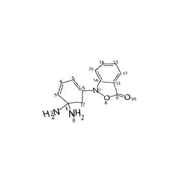 NC1(N)C=CC=C(n2oc(=O)c3ccccc32)C1